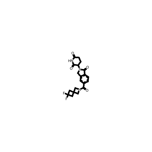 O=C1CCC(N2Cc3cc(C(=O)N4CC5(C4)CC(F)(F)C5)ccc3C2=O)C(=O)N1